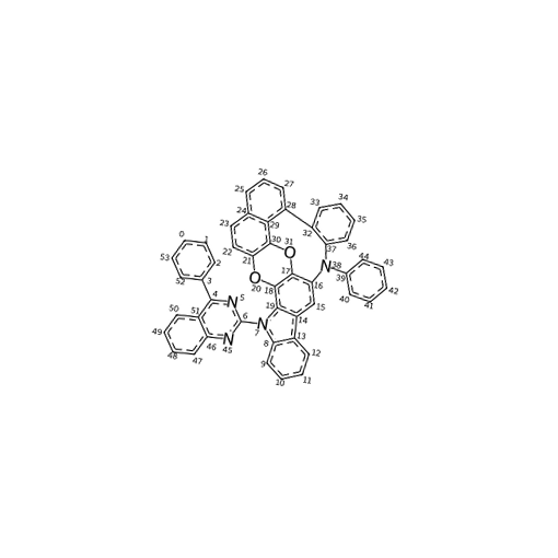 c1ccc(-c2nc(-n3c4ccccc4c4cc5c6c(c43)Oc3ccc4cccc(c4c3O6)-c3ccccc3N5c3ccccc3)nc3ccccc23)cc1